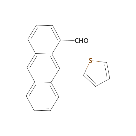 O=Cc1cccc2cc3ccccc3cc12.c1ccsc1